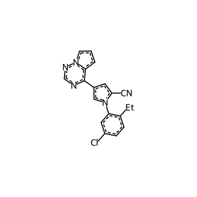 CCc1ccc(Cl)cc1-n1cc(-c2ncnn3cccc23)cc1C#N